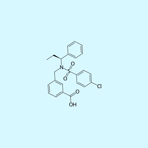 CC[C@@H](c1ccccc1)N(Cc1cccc(C(=O)O)c1)S(=O)(=O)c1ccc(Cl)cc1